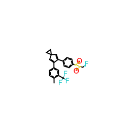 Cc1ccc(C2=CC3(C=C2c2ccc(S(=O)(=O)CF)cc2)CC3)cc1C(F)(F)F